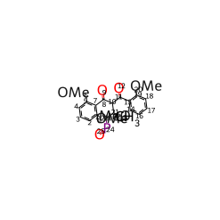 COc1cccc(OC)c1C(=O)C(C(=O)c1c(OC)cccc1OC)C(C)CP=O